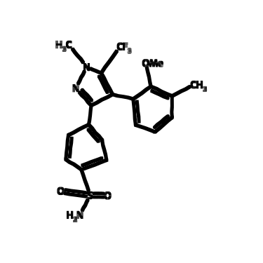 COc1c(C)cccc1-c1c(-c2ccc(S(N)(=O)=O)cc2)nn(C)c1C(F)(F)F